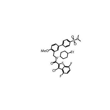 CC[C@H]1CC[C@H](N(Cc2cc(-c3ccc(S(=O)(=O)N(C)C)cc3)ccc2OC)C(=O)c2sc3c(F)ccc(F)c3c2Cl)CC1